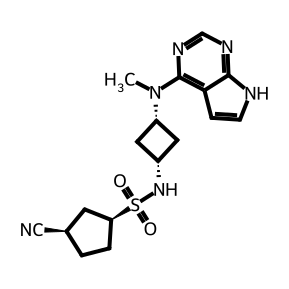 CN(c1ncnc2[nH]ccc12)[C@H]1C[C@@H](NS(=O)(=O)[C@H]2CC[C@@H](C#N)C2)C1